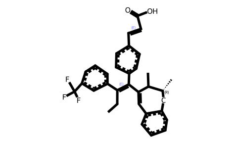 CC/C(=C(\C1=Cc2ccccc2C[C@@H](C)C1C)c1ccc(/C=C/C(=O)O)cc1)c1cccc(C(F)(F)F)c1